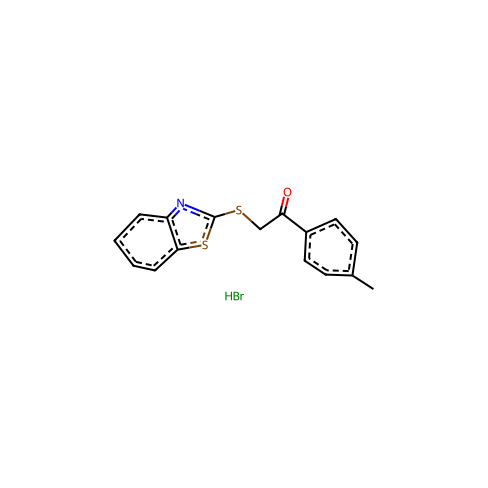 Br.Cc1ccc(C(=O)CSc2nc3ccccc3s2)cc1